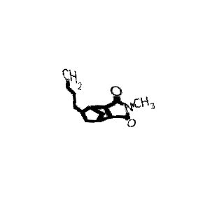 C=CCCC1=CC2CC1C1C(=O)N(C)C(=O)C21